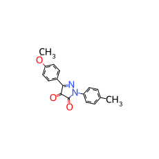 COc1ccc(C2=NN(c3ccc(C)cc3)C(=O)C2=O)cc1